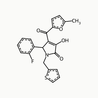 Cc1ccc(C(=O)C2=C(O)C(=O)N(Cc3cccs3)C2c2ccccc2F)o1